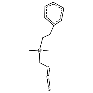 C[N+](C)(CCc1ccccc1)CN=C=S